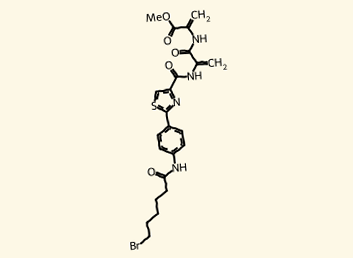 C=C(NC(=O)c1csc(-c2ccc(NC(=O)CCCCCBr)cc2)n1)C(=O)NC(=C)C(=O)OC